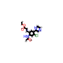 CCOC(=O)/C=C/c1cc(-c2cnccn2)c(Cl)cc1NC(C)=O